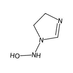 ONN1C=NCC1